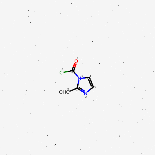 O=Cc1nccn1C(=O)Cl